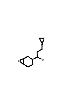 CCC(CCC1CO1)C1CCC2OC2C1